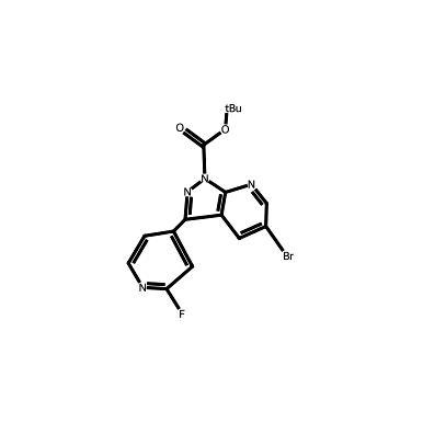 CC(C)(C)OC(=O)n1nc(-c2ccnc(F)c2)c2cc(Br)cnc21